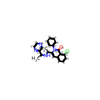 C=C(N[C@@H](C)c1cc2cccc(Cl)c2c(=O)n1-c1ccccc1)c1cnccn1